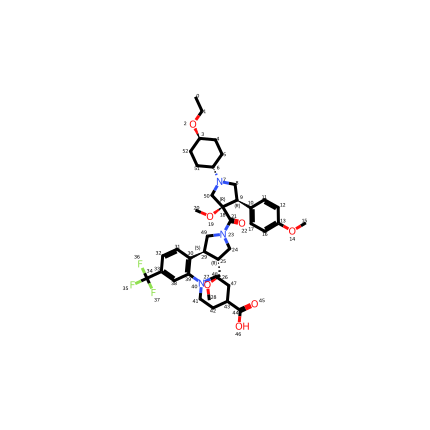 CCO[C@H]1CC[C@H](N2C[C@@H](c3ccc(OC)cc3)[C@](OC)(C(=O)N3C[C@H](COC)[C@@H](c4ccc(C(F)(F)F)cc4N4CCC(C(=O)O)CC4)C3)C2)CC1